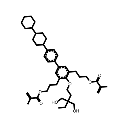 C=C(C)C(=O)OCCCc1cc(-c2ccc(C3CCC(C4CCCCC4)CC3)cc2)cc(CCCOC(=O)C(=C)C)c1OCCC(CC)(CO)CO